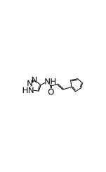 O=C(/C=C/c1ccccc1)Nc1c[nH]nn1